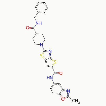 Cc1nc2cc(NC(=O)c3cc4sc(N5CCC(C(=O)NCc6ccccc6)CC5)nc4s3)ccc2o1